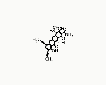 CC#Cc1cc(C#CC)c2c(c1O)C(=O)C1=C(O)C3C(=O)C(C(N)=O)=C(O)[C@@H](N(C)C)C3CC1C2